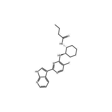 CCCC(=O)N[C@@H]1CCCC[C@H]1Nc1nc(-c2c[nH]c3ncccc23)ncc1F